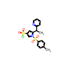 Cc1ccc(S(=O)(=O)n2cc(S(=O)(=O)Cl)cc2C(C)c2ccccn2)cc1